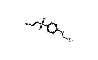 N#CC=CS(=O)(=O)c1ccc(NSC(Cl)(Cl)Cl)cc1